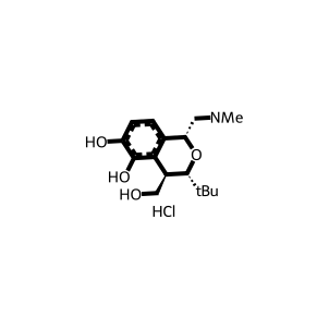 CNC[C@@H]1O[C@H](C(C)(C)C)[C@@H](CO)c2c1ccc(O)c2O.Cl